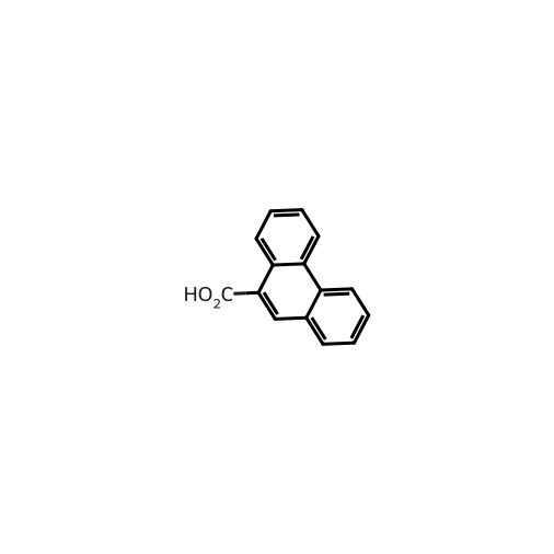 O=C(O)c1cc2ccccc2c2ccccc12